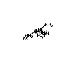 CC(=O)CCNC(=O)CCCCCC(C)(C)C(CCCNC(=N)N)NC(=O)CCCCCN